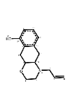 C=CCN1CCOC2Cc3c(O)cccc3CC21